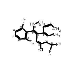 C\C=C/C(=C\C)C(/C=C(/Cl)CC(F)F)=C(\NC)c1c(F)cccc1F